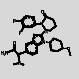 CO[C@H]1CC[C@H](n2c([C@@H]3CCCC(=O)N3c3ccc(F)c(F)c3)nc3cc(C(C(N)=O)N(C)C)ccc32)CC1